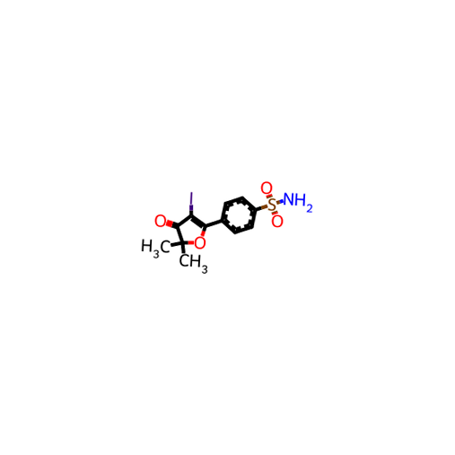 CC1(C)OC(c2ccc(S(N)(=O)=O)cc2)=C(I)C1=O